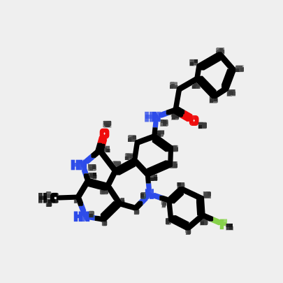 CC1NC=C2CN(c3ccc(F)cc3)C3=CC=C(NC(=O)Cc4ccccc4)CC3=C3C(=O)NC1=C23